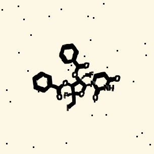 O=C(O[C@H]1[C@@](CF)(OC(=O)c2ccccc2)[C@H](n2ccc(=O)[nH]c2=O)O[C@]1(F)CI)c1ccccc1